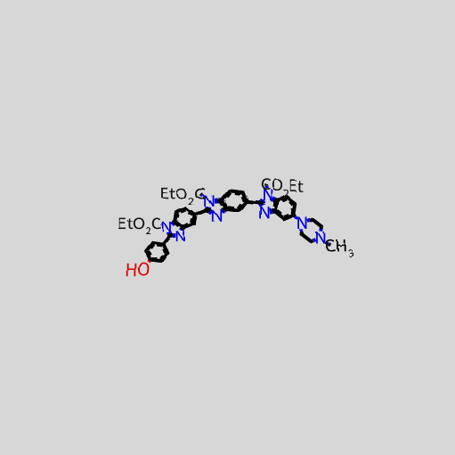 CCOC(=O)n1c(-c2ccc(O)cc2)nc2cc(-c3nc4cc(-c5nc6cc(N7CCN(C)CC7)ccc6n5C(=O)OCC)ccc4n3C(=O)OCC)ccc21